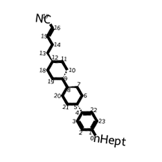 CCCCCCCc1ccc([C@H]2CC[C@H]([C@H]3CC[C@H](CCC=CC#N)CC3)CC2)cc1